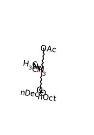 CCCCCCCCCCC(CCCCCCCC)C(=O)OCCCCCCCCCN(CCCCCCCCCOC(C)=O)CCN(C)C